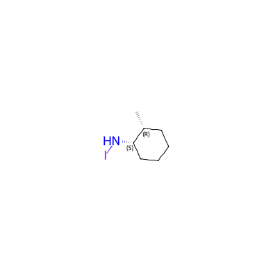 C[C@@H]1CCCC[C@@H]1NI